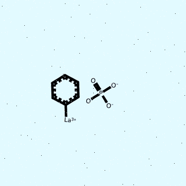 O=P([O-])([O-])[O-].[La+3][c]1ccccc1